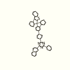 c1ccc(-c2nc(-c3ccc(-c4ccc5c(c4)-c4ccccc4C54c5ccccc5-c5c4sc4ccccc54)cc3)nc(-c3ccc4ccccc4c3)n2)cc1